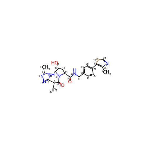 Cc1nnc(C(C(=O)N2C[C@H](O)C[C@H]2C(=O)NCc2ccc(-c3scnc3C)cc2)C(C)C)[nH]1